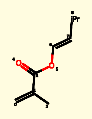 C=C(C)C(=O)OC=CC(C)C